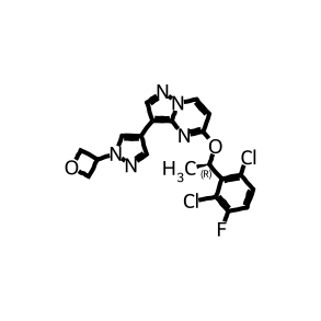 C[C@@H](Oc1ccn2ncc(-c3cnn(C4COC4)c3)c2n1)c1c(Cl)ccc(F)c1Cl